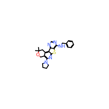 CC1(C)Cc2c(c(N3CCCC3)nc3sc4c(NCc5ccccc5)ncnc4c23)CO1